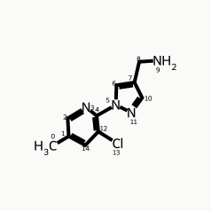 Cc1cnc(-n2cc(CN)cn2)c(Cl)c1